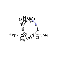 COc1cc2cc(c1Cl)N(C)C(=O)C[C@H](OC(=O)[C@H](C)N(C)C(=O)CCC(C)(C)S)[C@@]1(C)C[C@H]1[C@H](C)[C@@H]1C[C@@](O)(NC(=O)O1)[C@H](OC)/C=C/C=C(\C)C2